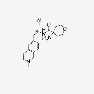 CN1CCc2cc(C[C@@H](C#N)NC(=O)C3(N)CCOCC3)ccc2C1